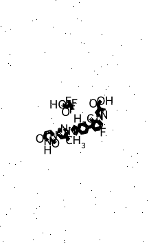 Cc1cc(N2CCC(=O)NC2=O)cnc1N1CC2(CCC(c3cc(F)cc(-n4cc(C(=O)O)cn4)c3C)CC2)C1.O=C(O)C(F)(F)F